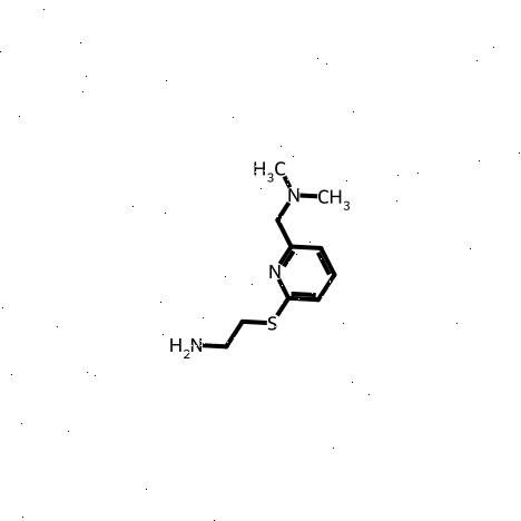 CN(C)Cc1cccc(SCCN)n1